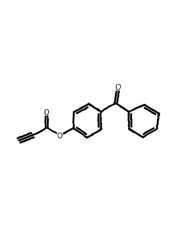 C#CC(=O)Oc1ccc(C(=O)c2ccccc2)cc1